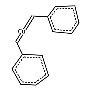 [CH](=[Cu]=[CH]c1ccccc1)c1ccccc1